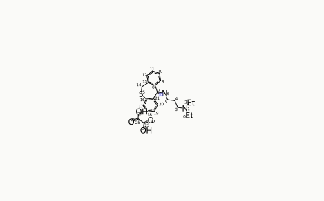 CCN(CC)CCC/N=C1/c2ccccc2CSc2ccccc21.O=C(O)C(=O)O